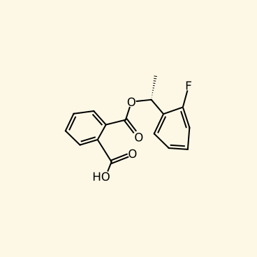 C[C@@H](OC(=O)c1ccccc1C(=O)O)c1ccccc1F